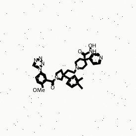 COc1ccc(-n2cnnn2)cc1C(=O)N1CCC(CCN2CCC(C(=O)NO)(c3ccncc3)CC2)(c2ccc(C)c(C)c2)C1